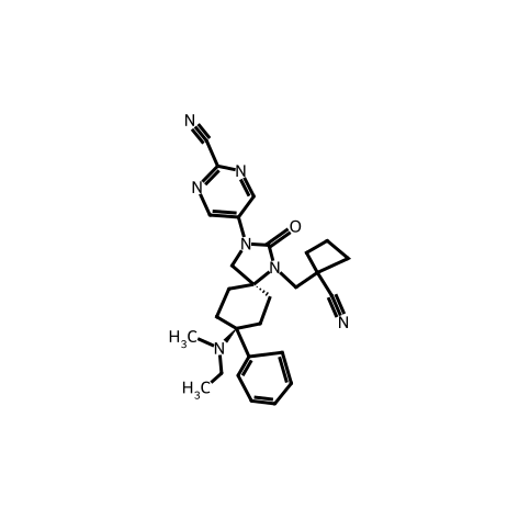 CCN(C)[C@]1(c2ccccc2)CC[C@]2(CC1)CN(c1cnc(C#N)nc1)C(=O)N2CC1(C#N)CCC1